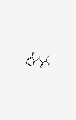 O=C(Nc1ccccc1Br)C(F)Br